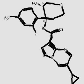 O=C(N[C@]1(c2ccc(C(F)(F)F)cc2F)CCOC[C@H]1O)c1ccn2cc(C3CC3)cnc12